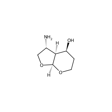 N[C@H]1CO[C@@H]2OCC[C@H](O)[C@@H]21